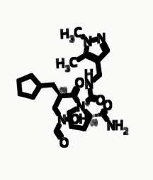 Cc1c(CNC(=O)[N+]2(C(=O)[C@H](CC3CCCC3)CN(O)C=O)CCC[C@H]2C(N)=O)cnn1C